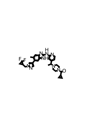 Cc1cc2nc(Nc3cc(C(C)N4CCN(C(=O)C5CC5)CC4)ccn3)[nH]c2cc1-c1cnn(CC2CC2(F)F)c1